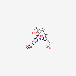 CC(=O)[O-].CC(=O)[O-].CC(C)c1cc(C(C)(C)C)cc(C=Nc2cc3ccccc3cc2N=Cc2cc(C(C)(C)C)cc(C(C)C)c2O)c1O.[Co+2]